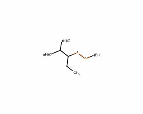 CCCCCCC(CCCCCC)C(CC(F)(F)F)SSC(C)(C)C